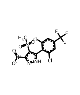 CS(=O)(=O)c1c([N+](=O)[O-])n[nH]c1-c1c(Cl)cc(C(F)(F)F)cc1Cl